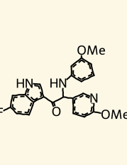 COc1cccc(NC(C(=O)c2c[nH]c3cc(F)ccc23)c2ccc(OC)nc2)c1